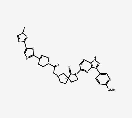 COc1ccc(-c2n[nH]c3ccc(N4CC[C@]5(CCN(CC(=O)N6CC=C(c7ncc(-c8ncn(C)n8)s7)CC6)C5)C4=O)nc23)cn1